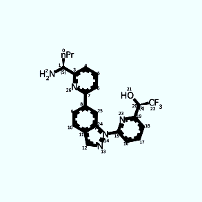 CCC[C@H](N)c1cccc(-c2ccc3cnn(-c4cccc([C@@H](O)C(F)(F)F)n4)c3c2)n1